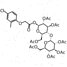 CC(=O)OC[C@H]1O[C@H](O[C@H]2[C@H](OC(C)=O)[C@@H](OC(C)=O)[C@H](OC(=O)COc3ccc(Cl)cc3C)O[C@@H]2COC(C)=O)[C@H](OC(C)=O)[C@@H](OC(C)=O)[C@@H]1OC(C)=O